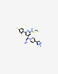 C=N/C=C(/c1cc(NSCC)nc(-c2ccc(F)cc2F)c1)N1C=CC(c2cnn(C)c2)=CC1